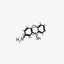 CC(C)N1c2ccccc2Oc2ccc(N)cc21